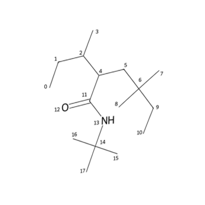 CCC(C)C(CC(C)(C)CC)C(=O)NC(C)(C)C